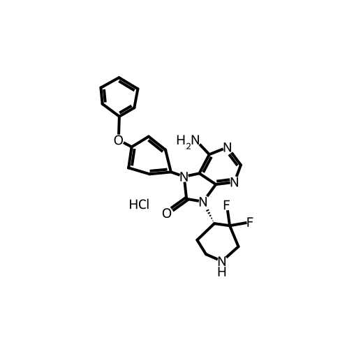 Cl.Nc1ncnc2c1n(-c1ccc(Oc3ccccc3)cc1)c(=O)n2[C@H]1CCNCC1(F)F